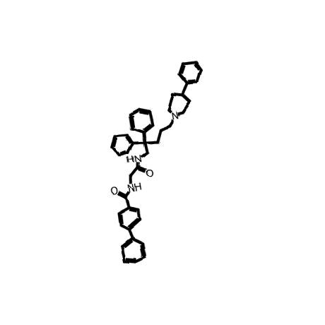 O=C(CNC(=O)c1ccc(-c2ccccc2)cc1)NCC(CCCN1CCC(c2ccccc2)CC1)(c1ccccc1)c1ccccc1